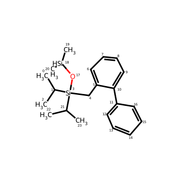 CC(C)[Si](Cc1ccccc1-c1ccccc1)(O[SiH](C)C)C(C)C